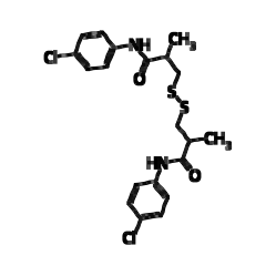 CC(CSSCC(C)C(=O)Nc1ccc(Cl)cc1)C(=O)Nc1ccc(Cl)cc1